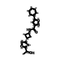 CC(O)c1nc([C@H]2C[C@H](NC(=O)c3cc(-c4ccccc4)on3)C2)no1